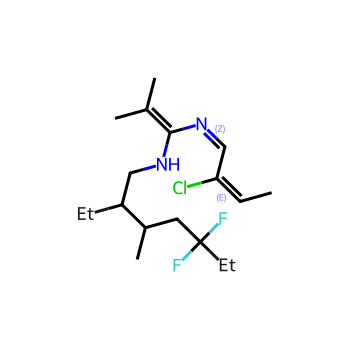 C/C=C(Cl)\C=N/C(NCC(CC)C(C)CC(F)(F)CC)=C(C)C